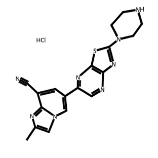 Cc1cn2cc(-c3cnc4nc(N5CCNCC5)sc4n3)cc(C#N)c2n1.Cl